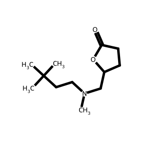 CN(CCC(C)(C)C)CC1CCC(=O)O1